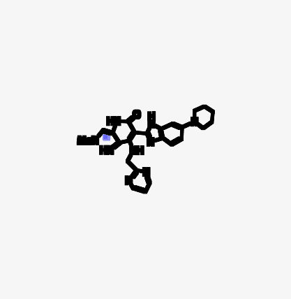 CN/C=C1/NC(=O)C(c2nc3ccc(N4CCCCC4)cc3[nH]2)=C(NCc2ncccn2)C1=N